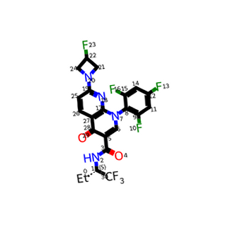 CC[C@H](NC(=O)c1cn(-c2c(F)cc(F)cc2F)c2nc(N3CC(F)C3)ccc2c1=O)C(F)(F)F